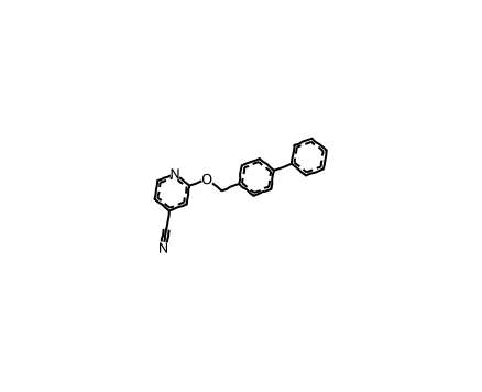 N#Cc1ccnc(OCc2ccc(-c3ccccc3)cc2)c1